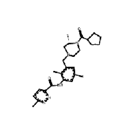 Cc1ccc(C(=O)Nc2cc(F)cc(CN3CCN(C(=O)C4CCCC4)[C@@H](C)C3)c2C)nn1